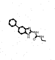 CCNC(=O)Nc1nc2cc(-c3ccccc3)ccc2[nH]1